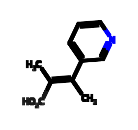 C/C(C(=O)O)=C(/C)c1cccnc1